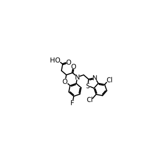 O=C(O)CC1Oc2cc(F)ccc2N(Cc2nc3c(Cl)ccc(Cl)c3s2)C1=O